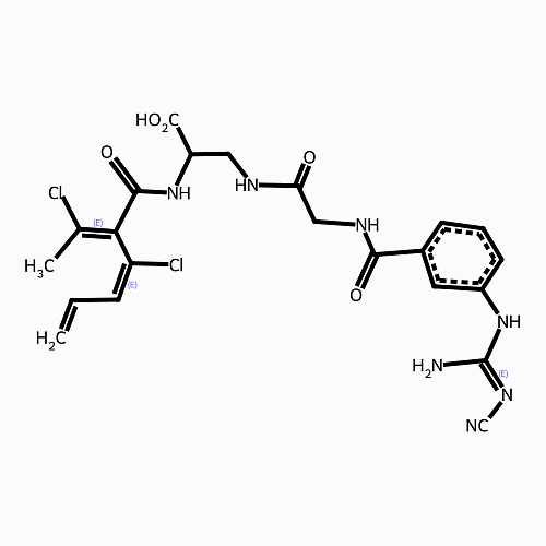 C=C/C=C(Cl)\C(C(=O)NC(CNC(=O)CNC(=O)c1cccc(N/C(N)=N/C#N)c1)C(=O)O)=C(/C)Cl